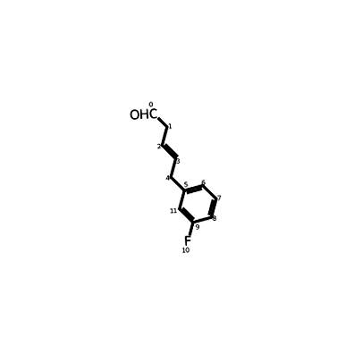 O=CC/C=C/Cc1cccc(F)c1